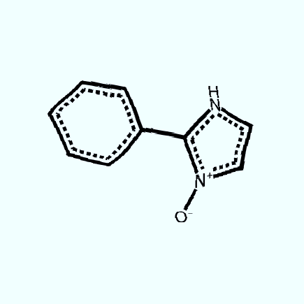 [O-][n+]1cc[nH]c1-c1ccccc1